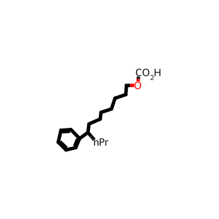 CCCC(CCCCCCCOC(=O)O)c1ccccc1